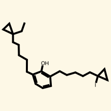 CCC1(CCCCCc2cccc(CCCCCC3(I)CC3)c2O)CC1